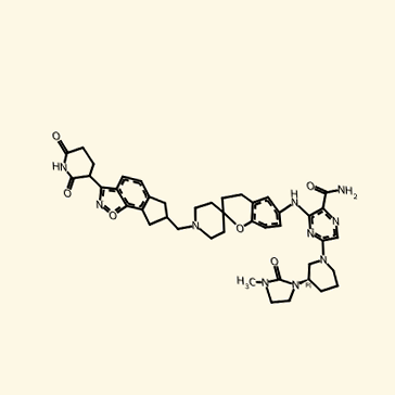 CN1CCN([C@@H]2CCCN(c3cnc(C(N)=O)c(Nc4ccc5c(c4)CCC4(CCN(CC6Cc7ccc8c(C9CCC(=O)NC9=O)noc8c7C6)CC4)O5)n3)C2)C1=O